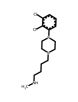 CNCCCCN1CCN(c2cccc(Cl)c2Cl)CC1